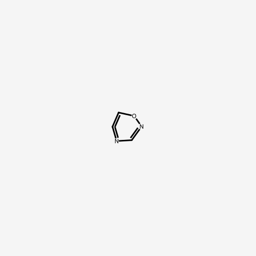 C1=CON=CN=1